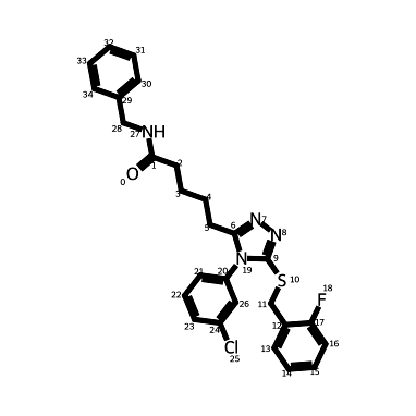 O=C(CCCCc1nnc(SCc2ccccc2F)n1-c1cccc(Cl)c1)NCc1ccccc1